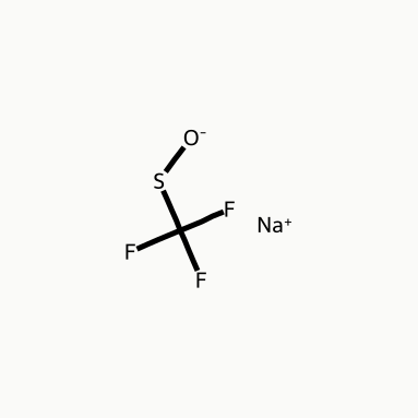 [Na+].[O-]SC(F)(F)F